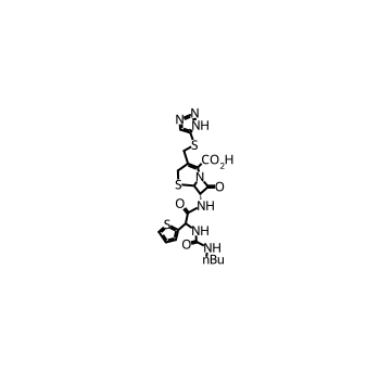 CCCCNC(=O)NC(C(=O)N[C@H]1C(=O)N2C(C(=O)O)=C(CSc3cnn[nH]3)CSC12)c1cccs1